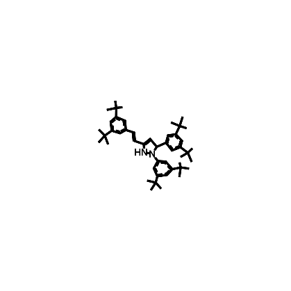 CC(C)(C)c1cc(C=CC2=CC(c3cc(C(C)(C)C)cc(C(C)(C)C)c3)N(c3cc(C(C)(C)C)cc(C(C)(C)C)c3)N2)cc(C(C)(C)C)c1